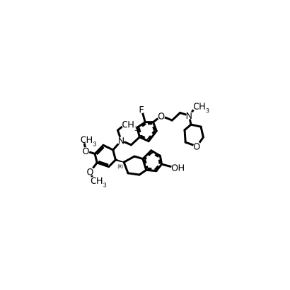 CCN(Cc1ccc(OCCN(C)C2CCOCC2)c(F)c1)C1C=C(OC)C(OC)=CC1[C@@H]1CCc2cc(O)ccc2C1